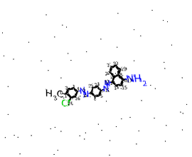 Cc1ccc(N=Nc2ccc(N=Nc3ccc(N)c4ccccc34)cc2)cc1Cl